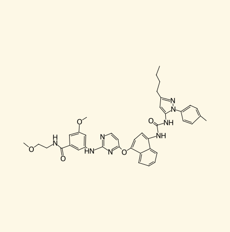 CCCCc1cc(NC(=O)Nc2ccc(Oc3ccnc(Nc4cc(OC)cc(C(=O)NCCOC)c4)n3)c3ccccc23)n(-c2ccc(C)cc2)n1